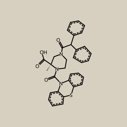 C[C@]1(C(=O)O)CN(C(=O)C(c2ccccc2)c2ccccc2)CCN1C(=O)N1c2ccccc2Sc2ccccc21